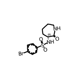 O=C1NCCCC[C@H]1NS(=O)(=O)c1ccc(Br)cc1